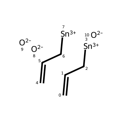 C=C[CH2][Sn+3].C=C[CH2][Sn+3].[O-2].[O-2].[O-2]